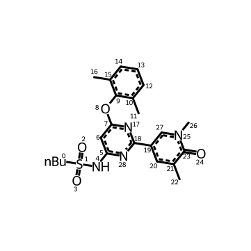 CCCCS(=O)(=O)Nc1cc(Oc2c(C)cccc2C)nc(-c2cc(C)c(=O)n(C)c2)n1